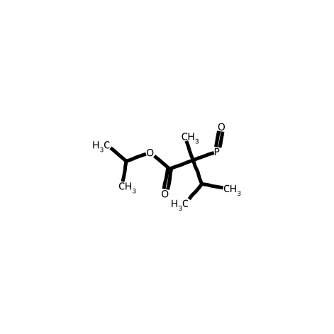 CC(C)OC(=O)C(C)(P=O)C(C)C